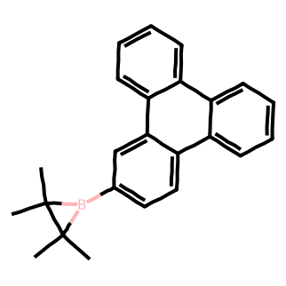 CC1(C)B(c2ccc3c4ccccc4c4ccccc4c3c2)C1(C)C